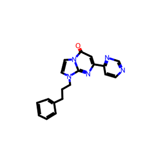 O=c1cc(-c2ccncn2)nc2n(CCCc3ccccc3)ccn12